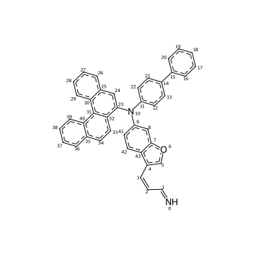 N=C/C=C\c1coc2cc(N(c3ccc(-c4ccccc4)cc3)c3cc4ccccc4c4c3ccc3ccccc34)ccc12